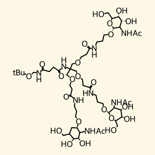 CC(=O)NC1[C@H](OCCCNC(=O)CCOCC(COCCC(=O)NCCCO[C@@H]2OC(CO)[C@H](O)[C@H](O)C2NC(C)=O)(COCCC(=O)NCCCO[C@@H]2CC(CO)[C@H](O)[C@H](O)C2NC(C)=O)NC(=O)CCC(=O)NCOC(C)(C)C)OC(CO)[C@H](O)[C@@H]1O